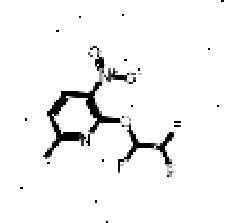 Cc1ccc([N+](=O)[O-])c(OC(F)C(F)F)n1